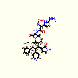 Nc1nc(C(=NO)C(=O)N[C@@H]2C(=O)N3C(C(=O)O)=C(C(=C4CCNC4=O)C(Cc4ccccc4)c4ccncc4)CS[C@H]23)cs1